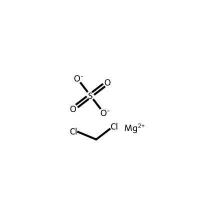 ClCCl.O=S(=O)([O-])[O-].[Mg+2]